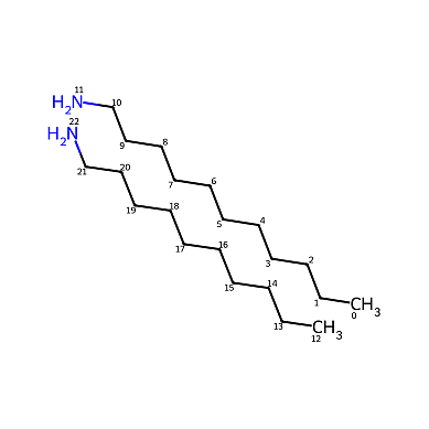 CCCCCCCCCCCN.CCCCCCCCCCN